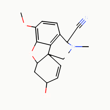 COc1ccc2c3c1OC1CC(O)C=CC31CCN(C)C2C#N